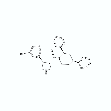 O=C([C@@H]1CNC[C@H]1c1cccc(Br)c1)N1CC[C@H](c2ccccc2)C[C@@H]1c1ccccc1